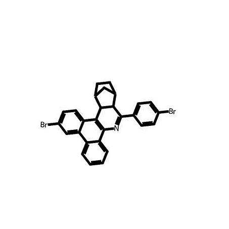 Brc1ccc(C2=Nc3c(c4ccc(Br)cc4c4ccccc34)C3C4CCC(C4)C23)cc1